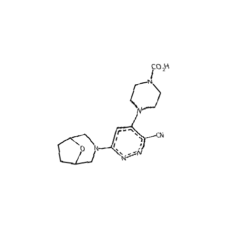 N#Cc1nnc(N2CC3CCC(C2)O3)cc1N1CCN(C(=O)O)CC1